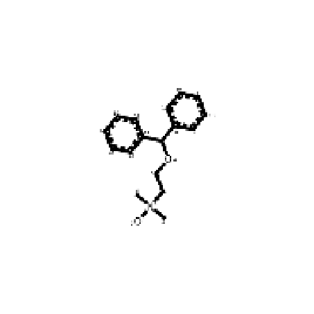 C[N+](C)([O-])CCOC(c1ccccc1)c1ccccc1